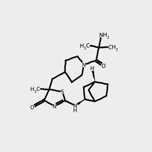 CC(C)(N)C(=O)N1CCC(CC2(C)SC(N[C@H]3C[C@@H]4CCC3C4)=NC2=O)CC1